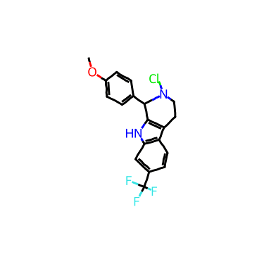 COc1ccc(C2c3[nH]c4cc(C(F)(F)F)ccc4c3CCN2Cl)cc1